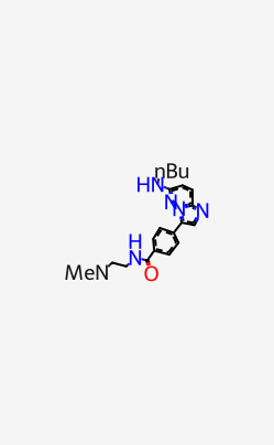 CCCCNc1ccc2ncc(-c3ccc(C(=O)NCCNC)cc3)n2n1